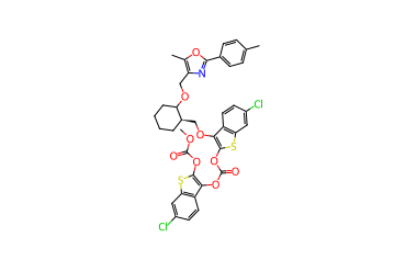 COC(=O)Oc1sc2cc(Cl)ccc2c1OC(=O)Oc1sc2cc(Cl)ccc2c1OC[C@H]1CCCCC1OCc1nc(-c2ccc(C)cc2)oc1C